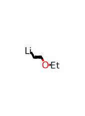 [Li][CH]=COCC